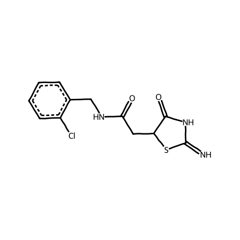 N=C1NC(=O)C(CC(=O)NCc2ccccc2Cl)S1